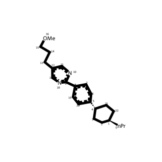 CCC[C@H]1CC[C@H](c2ccc(-c3ncc(CCCOC)cn3)cc2)CC1